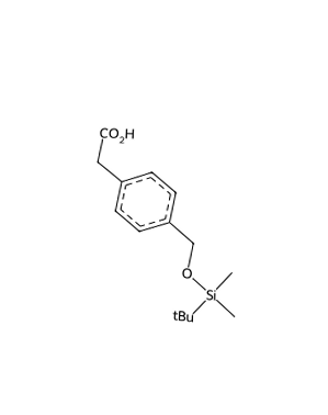 CC(C)(C)[Si](C)(C)OCc1ccc(CC(=O)O)cc1